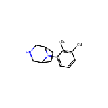 CCCCc1c(C#N)cccc1N1C2CCC1CNC2